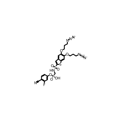 N#Cc1ccc(OP(=O)(O)CNS(=O)(=O)c2cc3cc(OCCCN=[N+]=[N-])c(OCCCN=[N+]=[N-])cc3s2)cc1F